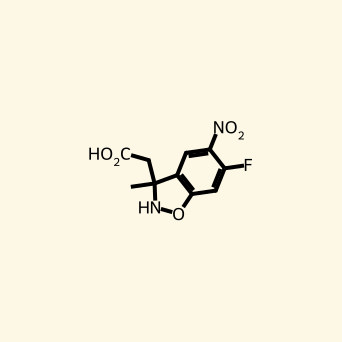 CC1(CC(=O)O)NOc2cc(F)c([N+](=O)[O-])cc21